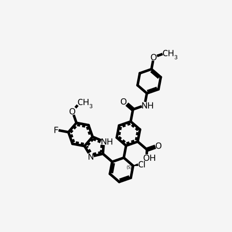 COC1=CC=C(NC(=O)c2ccc(C3C(c4nc5cc(F)c(OC)cc5[nH]4)=CC=C[C@@H]3Cl)c(C(=O)O)c2)CC1